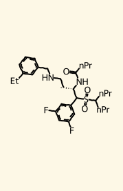 CCCC(=O)N[C@@H]([CH]CNCc1cccc(CC)c1)C(c1cc(F)cc(F)c1)S(=O)(=O)C(CCC)CCC